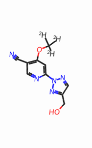 [2H]C([2H])([2H])Oc1cc(-n2ncc(CO)n2)ncc1C#N